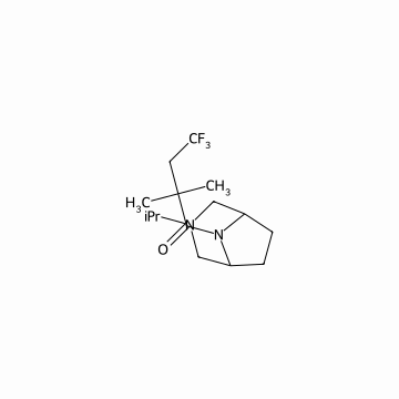 CC(C)N1CC2CCC(C1)N2C(=O)C(C)(C)CC(F)(F)F